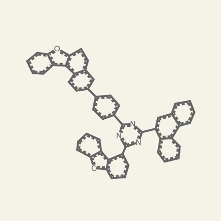 c1ccc2c(c1)cc(-c1nc(-c3ccc(-c4ccc5c(ccc6oc7ccccc7c65)c4)cc3)nc(-c3cccc4oc5ccccc5c34)n1)c1ccccc12